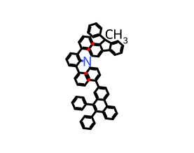 CC1(c2ccccc2)c2ccccc2-c2cc(N(c3ccc(-c4ccc5c(c4)c(-c4ccccc4)c(-c4ccccc4)c4ccccc45)cc3)c3c(-c4ccccc4)cccc3-c3ccccc3)ccc21